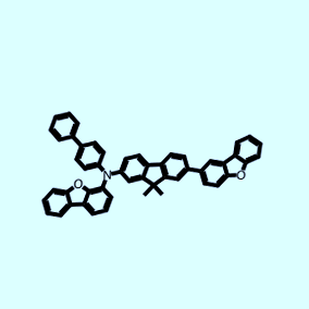 CC1(C)c2cc(-c3ccc4oc5ccccc5c4c3)ccc2-c2ccc(N(c3ccc(-c4ccccc4)cc3)c3cccc4c3oc3ccccc34)cc21